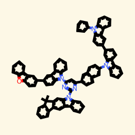 CC1(C)c2ccccc2-c2cc3c4ccccc4n(-c4nc(-c5ccc6cc(-n7c8ccccc8c8ccc(-c9ccc%10c(c9)c9ccccc9n%10-c9ccccc9)cc87)ccc6c5)cc(-n5c6ccccc6c6cc(-c7ccc8oc9ccccc9c8c7)ccc65)n4)c3cc21